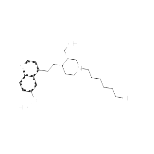 CCCCCCCN1CC[C@@H](CCc2ccnc3ccc(OC)cc23)[C@@H](CC)C1